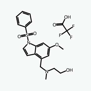 COc1cc(CN(C)CCO)c2ccn(S(=O)(=O)c3ccccc3)c2c1.O=C(O)C(F)(F)F